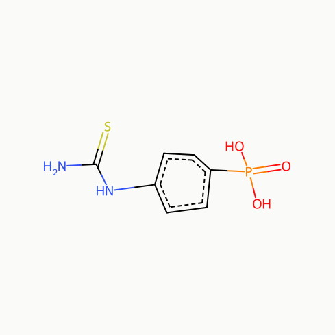 NC(=S)Nc1ccc(P(=O)(O)O)cc1